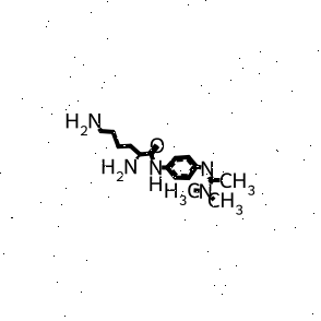 CC(=Nc1ccc(NC(=O)[C@@H](N)CCCCN)cc1)N(C)C